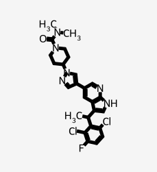 CC(c1c(Cl)ccc(F)c1Cl)c1c[nH]c2ncc(-c3cnn(C4CCN(C(=O)N(C)C)CC4)c3)cc12